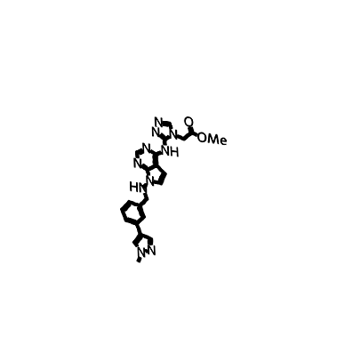 COC(=O)Cn1cnnc1Nc1ncnc2c1ccn2NCc1cccc(-c2cnn(C)c2)c1